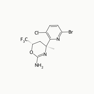 C[C@@]1(c2nc(Br)ccc2Cl)C[C@@H](C(F)(F)F)OC(N)=N1